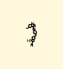 CCc1ccc2ncnc(N3CC4(CCN(Cc5ccc6[nH]c(C#N)cc6c5)CC4)C3)c2c1